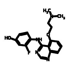 CN(C)CCOc1cccc2ncnc(Nc3ccc(O)cc3F)c12